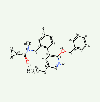 CCN(Cc1cc(C)ccc1-c1cc(CC(=O)O)cnc1OCc1ccccc1)C(=O)C1CC1